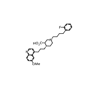 COc1ccc2nccc(CCC[C@@H]3CCN(CCCCc4ccccc4F)C[C@@H]3C(=O)O)c2c1